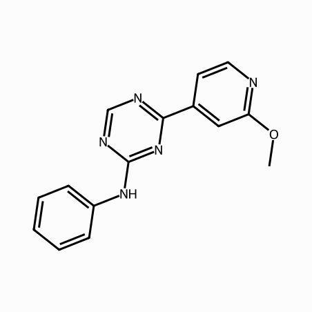 COc1cc(-c2ncnc(Nc3ccccc3)n2)ccn1